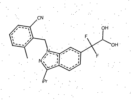 Cc1cccc(C#N)c1Cn1nc(C(C)C)c2ccc(C(F)(F)C(O)O)cc21